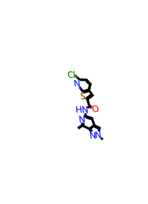 Cc1nc(NC(=O)c2cc3ccc(Cl)nc3s2)cc2cn(C)nc12